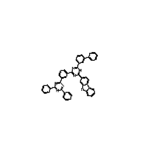 c1ccc(-c2cccc(-c3nc(-c4cccc(-c5nc(-c6ccccc6)nc(-c6ccccc6)n5)c4)nc(-c4ccc5c(c4)oc4ccccc45)n3)c2)cc1